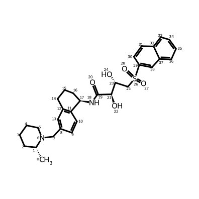 C[C@@H]1CCCCN1Cc1ccc2c(c1)CCC[C@H]2NC(=O)[C@H](O)[C@H](O)CS(=O)(=O)c1ccc2ccccc2c1